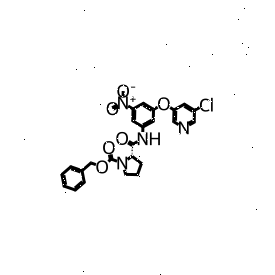 O=C(Nc1cc(Oc2cncc(Cl)c2)cc([N+](=O)[O-])c1)[C@@H]1CCCN1C(=O)OCc1ccccc1